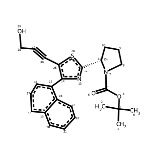 CC(C)(C)OC(=O)N1CCC[C@H]1c1nc(-c2cccc3ccccc23)c(C#CCO)s1